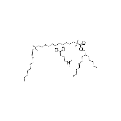 CCCCCCCC#CCC(C)(C)CCCCCC(CCCCCC(C)(C)C(=O)OCC(CCCCC)CCCCCCC)OC(=O)CCCN(C)C